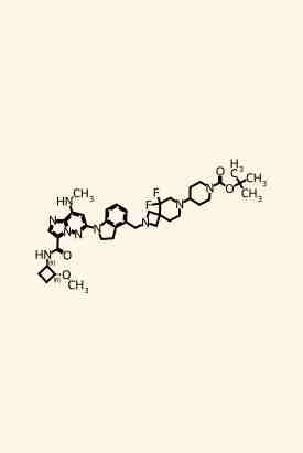 CNc1cc(N2CCc3c(CN4CC5(CCN(C6CCN(C(=O)OC(C)(C)C)CC6)CC5(F)F)C4)cccc32)nn2c(C(=O)N[C@@H]3CC[C@H]3OC)cnc12